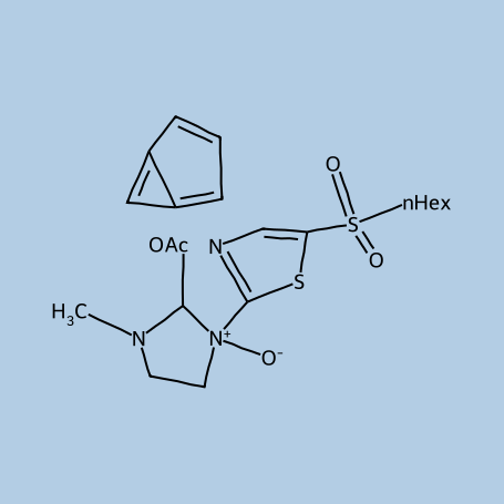 CCCCCCS(=O)(=O)c1cnc([N+]2([O-])CCN(C)C2OC(C)=O)s1.c1cc2cc-2c1